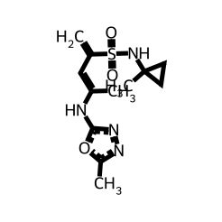 C=C(/C=C(\C)Nc1nnc(C)o1)S(=O)(=O)NC1(C)CC1